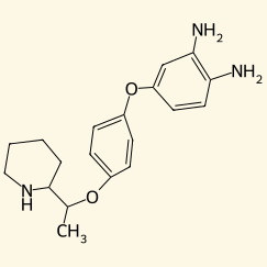 CC(Oc1ccc(Oc2ccc(N)c(N)c2)cc1)C1CCCCN1